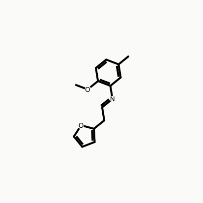 COc1ccc(C)cc1N=CCc1ccco1